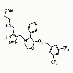 COCCNCc1[nH]nnc1CN1CCOC(OCCc2cc(C(F)(F)F)cc(C(F)(F)F)c2)C1c1ccccc1